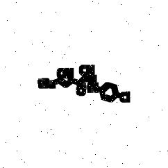 CC(C)(C)c1cc(C(=O)C(C#N)=NNc2ccc(Cl)cc2)no1